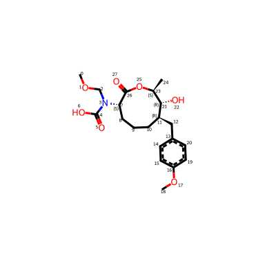 COCN(C(=O)O)[C@H]1CCC[C@H](Cc2ccc(OC)cc2)[C@@H](O)[C@H](C)OC1=O